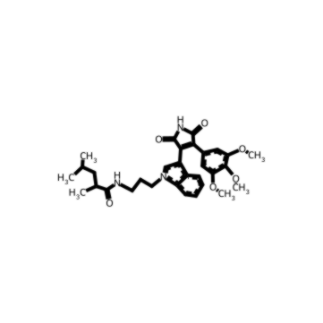 COc1cc(C2=C(c3cn(CCCNC(=O)C(C)CC(C)C)c4ccccc34)C(=O)NC2=O)cc(OC)c1OC